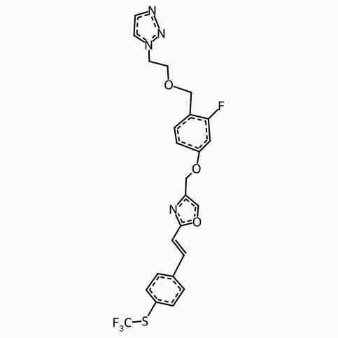 Fc1cc(OCc2coc(/C=C/c3ccc(SC(F)(F)F)cc3)n2)ccc1COCCn1ccnn1